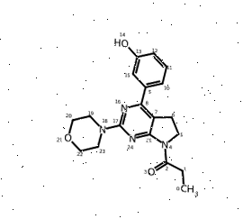 CCC(=O)N1CCc2c(-c3cccc(O)c3)nc(N3CCOCC3)nc21